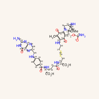 CO[C@@]12[C@H](COC(N)=O)C3=C(C(=O)C(C)=C(NCCSSC[C@@H](NC(=O)CC[C@@H](NC(=O)c4ccc(NCc5cnc6nc(N)[nH]c(=O)c6n5)cc4)C(=O)O)C(=O)O)C3=O)N1CC1N[C@@H]12